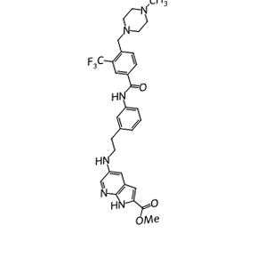 COC(=O)c1cc2cc(NCCc3cccc(NC(=O)c4ccc(CN5CCN(C)CC5)c(C(F)(F)F)c4)c3)cnc2[nH]1